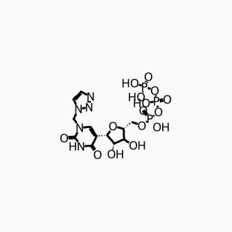 O=c1[nH]c(=O)n(Cn2ccnn2)cc1[C@@H]1O[C@H](COP(=O)(O)OP(=O)(O)OP(=O)(O)O)C(O)[C@@H]1O